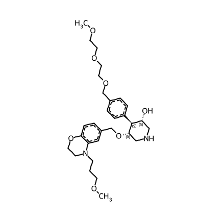 COCCCN1CCOc2ccc(CO[C@H]3CNC[C@@H](O)[C@@H]3c3ccc(COCCOCCOC)cc3)cc21